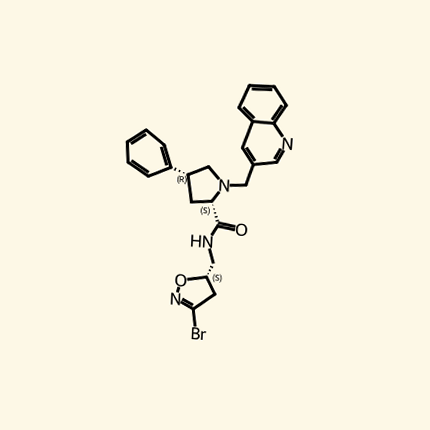 O=C(NC[C@@H]1CC(Br)=NO1)[C@@H]1C[C@H](c2ccccc2)CN1Cc1cnc2ccccc2c1